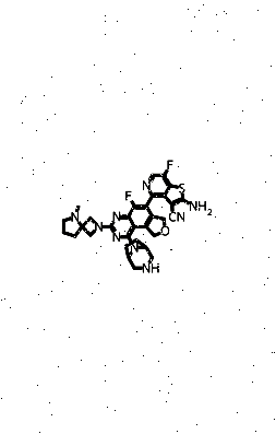 CN1CCCC12CN(c1nc(N3C4CCC3CNC4)c3c4c(c(-c5ncc(F)c6sc(N)c(C#N)c56)c(F)c3n1)COC4)C2